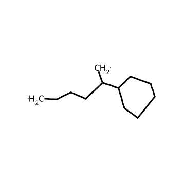 [CH2]CCCC([CH2])C1CCCCC1